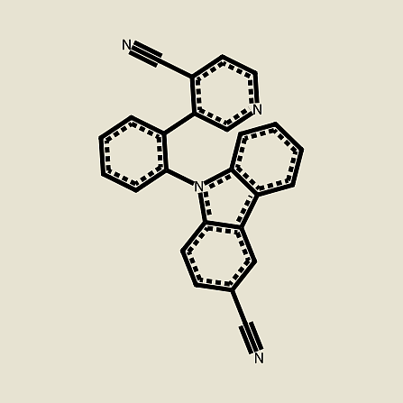 N#Cc1ccc2c(c1)c1ccccc1n2-c1ccccc1-c1cnccc1C#N